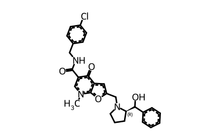 Cn1cc(C(=O)NCc2ccc(Cl)cc2)c(=O)c2cc(CN3CCC[C@@H]3C(O)c3ccccc3)oc21